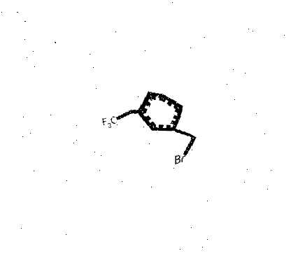 FC(F)(F)c1c[c]cc(CBr)c1